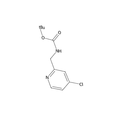 CC(C)(C)OC(=O)NCc1cc(Cl)ccn1